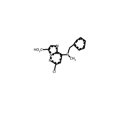 CN(Cc1ccccc1)c1cc(Cl)nn2c(C(=O)O)cnc12